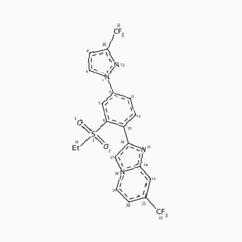 CCS(=O)(=O)c1cc(-n2ccc(C(F)(F)F)n2)ccc1-c1cn2ccc(C(F)(F)F)cc2n1